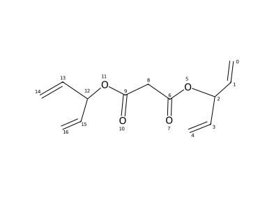 C=CC(C=C)OC(=O)CC(=O)OC(C=C)C=C